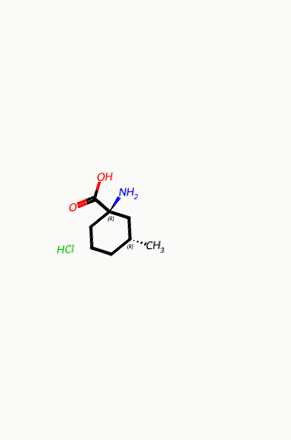 C[C@@H]1CCC[C@](N)(C(=O)O)C1.Cl